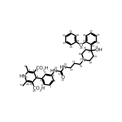 CC1=C(C(=O)O)C(c2cccc(NC(=O)NCCCN3CCC(O)(c4ccccc4Oc4ccccc4)CC3)c2)C(C(=O)O)=C(C)N1